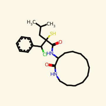 CC(C)CC(S)(C(=O)NC1CCCCCCCCCCNC1=O)C(Cl)c1ccccc1